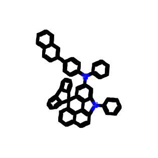 c1ccc(N(c2ccc(-c3ccc4ccccc4c3)cc2)c2cc3c4c5c6c(cccc6ccc5n(-c5ccccc5)c4c2)C32c3ccccc3-c3ccccc32)cc1